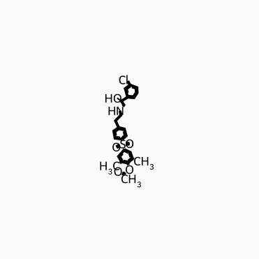 CC(=O)Oc1c(C)cc(S(=O)(=O)c2ccc(CCNC[C@@H](O)c3cccc(Cl)c3)cc2)cc1C